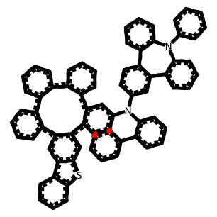 c1ccc(-c2ccccc2N(c2ccc3c(c2)-c2ccccc2N(c2ccccc2)c2ccccc2-3)c2ccc3c(c2)c2ccccc2c2ccccc2c2ccccc2c2cc4c(cc32)sc2ccccc24)cc1